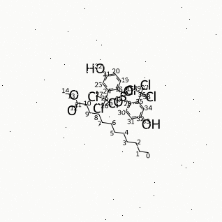 CCCCCCCCCCCC(=O)OC.O=S(=O)(c1ccc(O)cc1C(Cl)(Cl)Cl)c1ccc(O)cc1C(Cl)(Cl)Cl